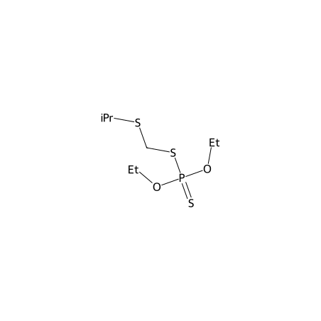 CCOP(=S)(OCC)SCSC(C)C